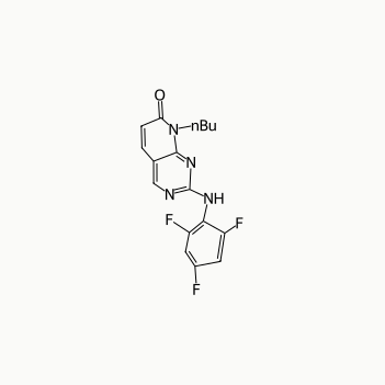 CCCCn1c(=O)ccc2cnc(Nc3c(F)cc(F)cc3F)nc21